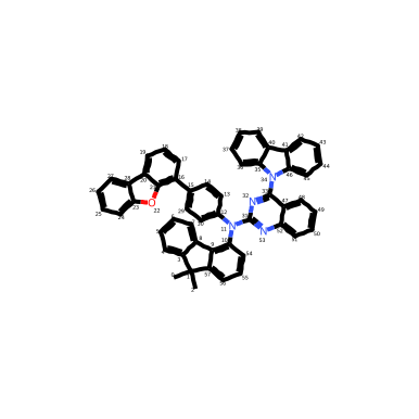 CC1(C)c2ccccc2-c2c(N(c3ccc(-c4cccc5c4oc4ccccc45)cc3)c3nc(-n4c5ccccc5c5ccccc54)c4ccccc4n3)cccc21